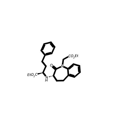 CCOC(=O)CN1C(=O)[C@@H](N[C@H](CCc2ccccc2)C(=O)OCC)CCc2ccccc21